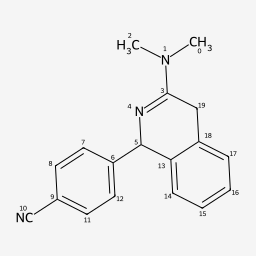 CN(C)C1=NC(c2ccc(C#N)cc2)c2ccccc2C1